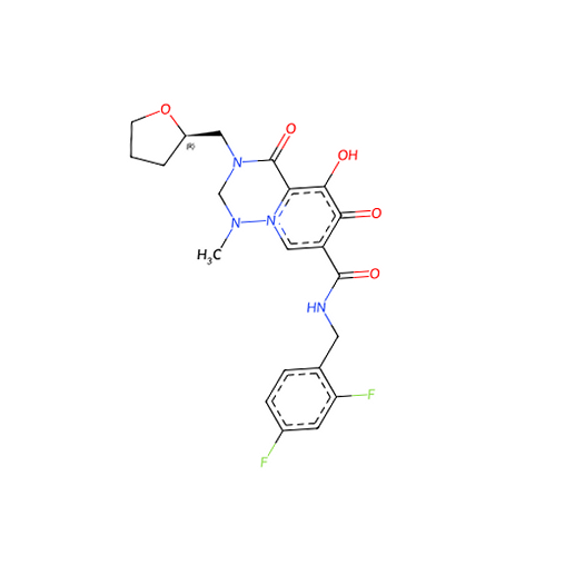 CN1CN(C[C@H]2CCCO2)C(=O)c2c(O)c(=O)c(C(=O)NCc3ccc(F)cc3F)cn21